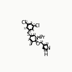 CC1=CC(Sc2cc(Cl)cc(Cl)c2)=CN(C(C)C)C1OCc1cn[nH]c1